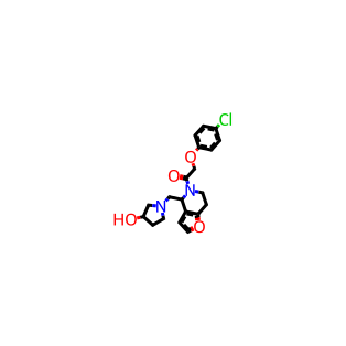 O=C(COc1ccc(Cl)cc1)N1CCc2occc2C1CN1CCC(O)C1